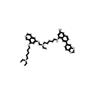 CCN(CC)CCCCCOc1cc(OCN(CC)CCCCCNc2cc(O)cc3ccc(-c4ccc5c(c4)OCO5)cc23)cc2ccncc12